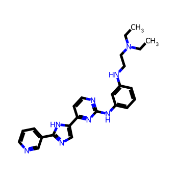 CCN(CC)CCNc1cccc(Nc2nccc(-c3cnc(-c4cccnc4)[nH]3)n2)c1